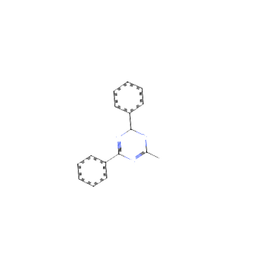 O=CC1=NC(c2ccccc2)=NC(c2ccccc2)N1